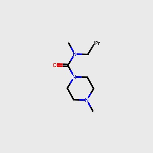 CC(C)CN(C)C(=O)N1CCN(C)CC1